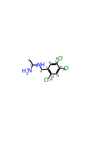 CC(N)NCc1cc(Cl)c(Cl)cc1Cl